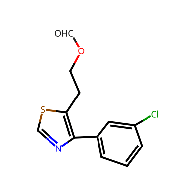 O=COCCc1scnc1-c1cccc(Cl)c1